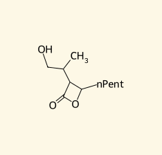 CCCCCC1OC(=O)C1C(C)CO